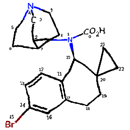 O=C(O)N(C1CN2CCC1CC2)[C@@H]1c2ccc(Br)cc2CCC12CC2